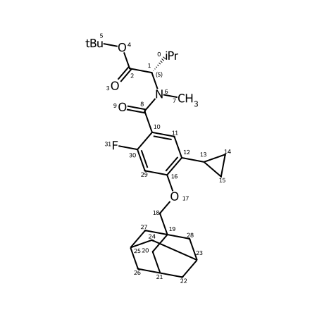 CC(C)[C@@H](C(=O)OC(C)(C)C)N(C)C(=O)c1cc(C2CC2)c(OCC23CC4CC(CC(C4)C2)C3)cc1F